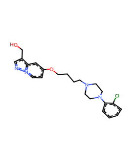 OCc1cnn2ccc(OCCCCN3CCN(c4ccccc4Cl)CC3)cc12